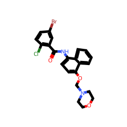 O=C(Nc1ccc(OCN2CCOCC2)c2ccccc12)c1cc(Br)ccc1Cl